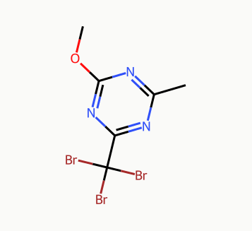 COc1nc(C)nc(C(Br)(Br)Br)n1